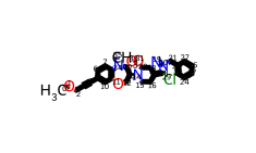 COCC#Cc1ccc2c(c1)OC[C@@H](N1CCc3c(nn(Cc4ccccc4)c3Cl)C1=O)C(=O)N2C